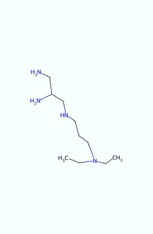 CCN(CC)CCCNCC(N)CN